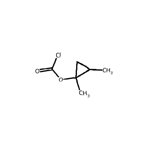 CC1CC1(C)OC(=O)Cl